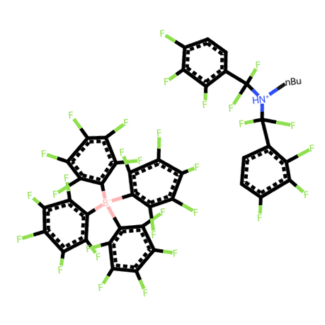 CCCC[NH+](C(F)(F)c1ccc(F)c(F)c1F)C(F)(F)c1ccc(F)c(F)c1F.Fc1c(F)c(F)c([B-](c2c(F)c(F)c(F)c(F)c2F)(c2c(F)c(F)c(F)c(F)c2F)c2c(F)c(F)c(F)c(F)c2F)c(F)c1F